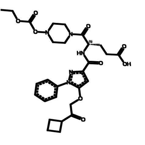 CCOC(=O)ON1CCN(C(=O)[C@H](CCC(=O)O)NC(=O)c2cc(OCC(=O)C3CCC3)n(-c3ccccc3)n2)CC1